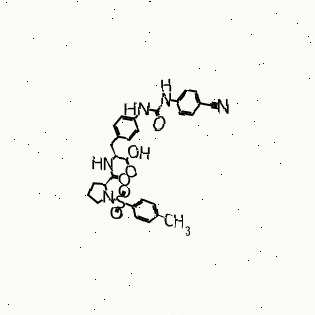 Cc1ccc(S(=O)(=O)N2CCC[C@H]2C(=O)N[C@@H](Cc2ccc(NC(=O)Nc3ccc(C#N)cc3)cc2)C(=O)O)cc1